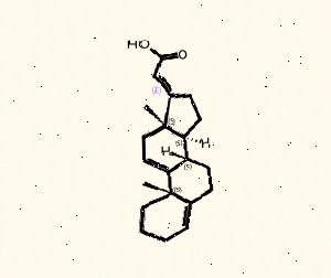 C[C@]12CCCC=C1CC[C@@H]1C2=CC[C@]2(C)/C(=C/C(=O)O)CC[C@@H]12